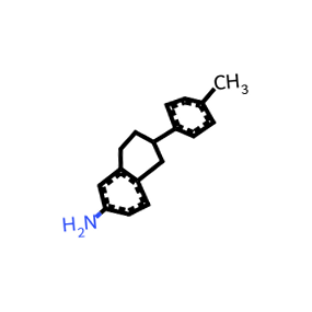 Cc1ccc(C2CCc3cc(N)ccc3C2)cc1